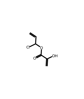 C=CC(Cl)OC(=O)C(=C)O